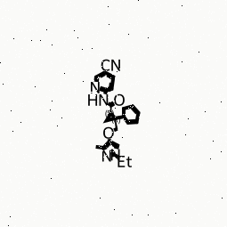 CCn1cc(OC[C@@]2(C3C=CC=CC3)C[C@H]2C(=O)Nc2ccc(C#N)cn2)c(C)n1